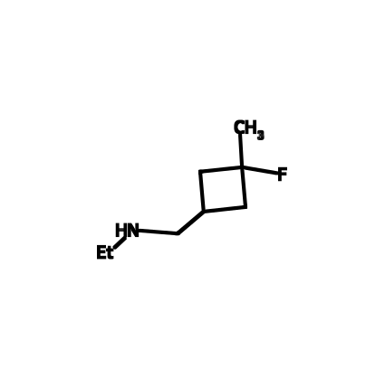 CCNCC1CC(C)(F)C1